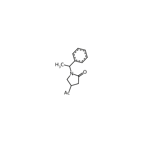 CC(=O)C1CC(=O)N(C(C)c2ccccc2)C1